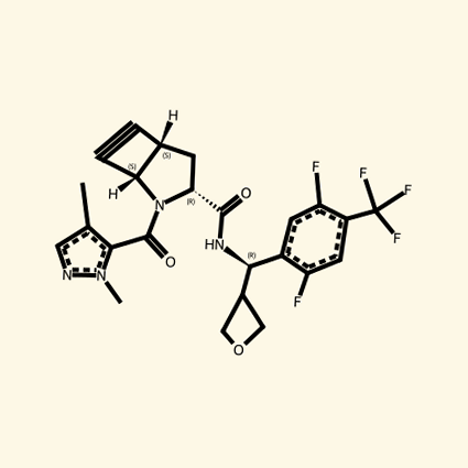 Cc1cnn(C)c1C(=O)N1[C@@H](C(=O)N[C@@H](c2cc(F)c(C(F)(F)F)cc2F)C2COC2)C[C@H]2C#C[C@H]21